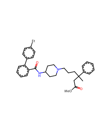 CCc1ccc(-c2ccccc2C(=O)NC2CCN(CCCC(C)(CC(=O)OC)c3ccccc3)CC2)cc1